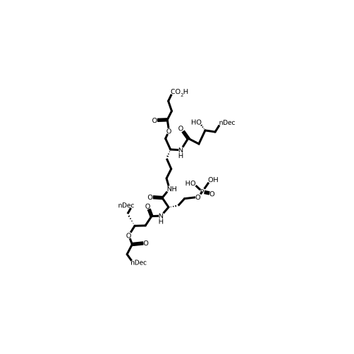 CCCCCCCCCCCC(=O)O[C@H](CCCCCCCCCCC)CC(=O)N[C@@H](CCOP(=O)(O)O)C(=O)NCCC[C@H](COC(=O)CCC(=O)O)NC(=O)C[C@H](O)CCCCCCCCCCC